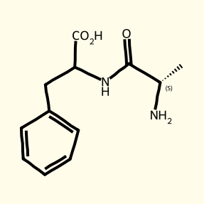 C[C@H](N)C(=O)NC(Cc1ccccc1)C(=O)O